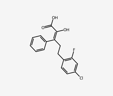 O=C(O)/C(O)=C(/CCc1ccc(Cl)cc1F)c1ccccc1